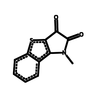 CN1C(=O)C(=O)c2sc3ccccc3c21